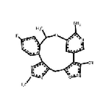 CC1Oc2cc(cnc2N)-c2c(C#N)noc2Cc2nn(C)nc2-c2ccc(F)cc21